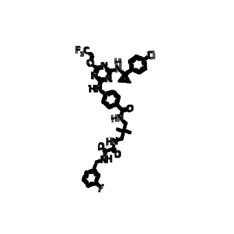 CC(C)(CNC(=O)C(=O)NCc1cccc(F)c1)CNC(=O)c1ccc(Nc2nc(NC3(c4ccc(Cl)cc4)CC3)nc(OCC(F)(F)F)n2)cc1